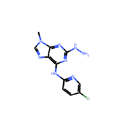 Cn1cnc2c(Nc3ccc(Cl)cn3)nc(NN)nc21